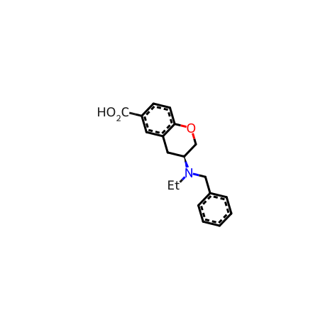 CCN(Cc1ccccc1)[C@@H]1COc2ccc(C(=O)O)cc2C1